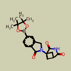 CC1(C)OB(c2ccc3c(c2)CN(C24CC(C2)C(=O)NC4=O)C3=O)OC1(C)C